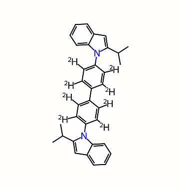 [2H]c1c([2H])c(-n2c(C(C)C)cc3ccccc32)c([2H])c([2H])c1-c1c([2H])c([2H])c(-n2c(C(C)C)cc3ccccc32)c([2H])c1[2H]